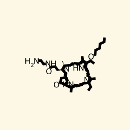 CCCCCCOC(C)c1c(C)c2cc3nc(c4c5[nH]c(cc6nc(cc1[nH]2)C(C)=C6CC)c(C)c5C(=O)C4)[C@@H](CCC(=O)NCCN)[C@@H]3C